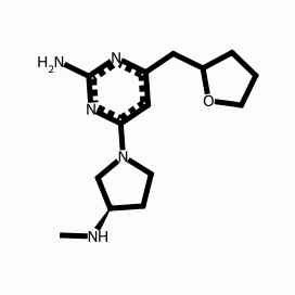 CN[C@@H]1CCN(c2cc(CC3CCCO3)nc(N)n2)C1